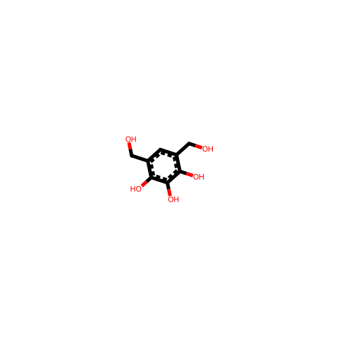 OCc1cc(CO)c(O)c(O)c1O